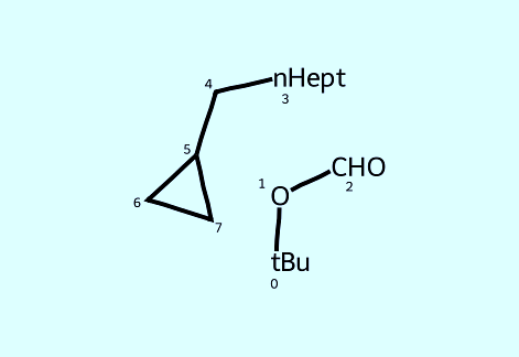 CC(C)(C)OC=O.CCCCCCCCC1CC1